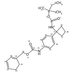 CCC(C)(C)OC(=O)NC1(c2ccc(NC(=O)OCC3=CC=CCC3)cc2)CCC1